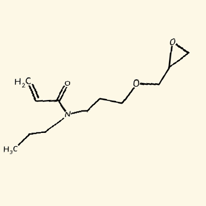 C=CC(=O)N(CCC)CCCOCC1CO1